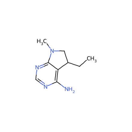 CCC1CN(C)c2ncnc(N)c21